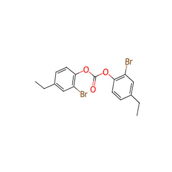 CCc1ccc(OC(=O)Oc2ccc(CC)cc2Br)c(Br)c1